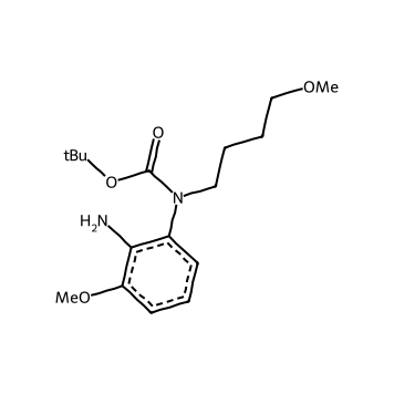 COCCCCN(C(=O)OC(C)(C)C)c1cccc(OC)c1N